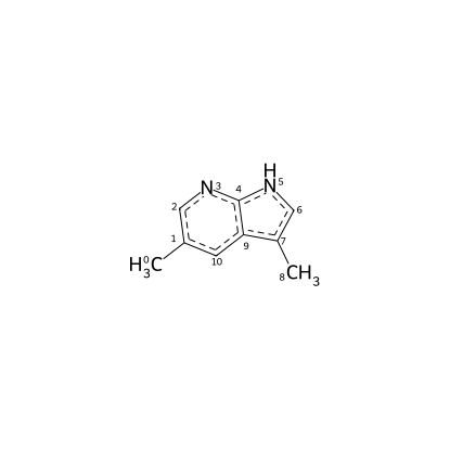 Cc1cnc2[nH]cc(C)c2c1